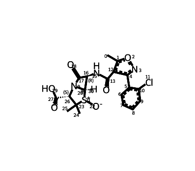 Cc1onc(-c2ccccc2Cl)c1C(=O)N[C@@H]1C(=O)N2[C@@H]1[S+]([O-])C(C)(C)[C@@H]2C(=O)O